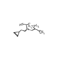 CC(C)CN(CCC1CC1)C(C)S